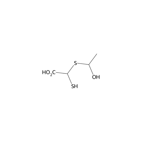 CC(O)SC(S)C(=O)O